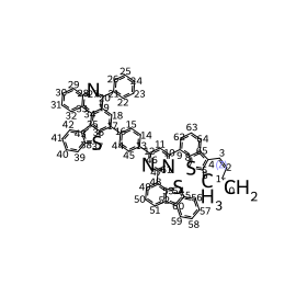 C=C/C=C\c1c(C)sc2c(-c3cc(-c4ccc(-c5cc6c(-c7ccccc7)nc7ccccc7c6c6c5sc5ccccc56)cc4)nc(-c4cccc5c4sc4ccccc45)n3)cccc12